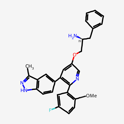 COc1ccc(F)cc1-c1ncc(OC[C@@H](N)Cc2ccccc2)cc1-c1ccc2[nH]nc(C)c2c1